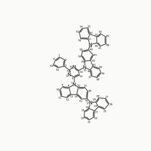 c1ccc(-c2nc(-n3c4ccccc4c4cc(-n5c6ccccc6c6ccccc65)ccc43)cc(-n3c4ccccc4c4cc(-n5c6ccccc6c6ccccc65)ccc43)n2)cc1